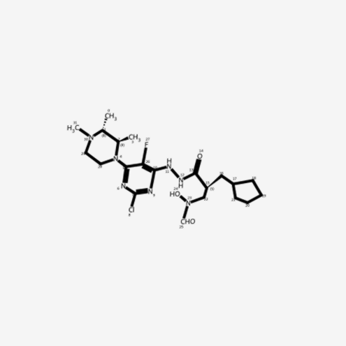 C[C@@H]1[C@@H](C)N(c2nc(Cl)nc(NNC(=O)[C@@H](CC3CCCC3)CN(O)C=O)c2F)CCN1C